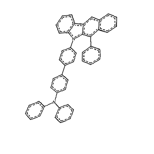 c1ccc(-c2c3ccccc3cc3c4ccccc4n(-c4ccc(-c5ccc(N(c6ccccc6)c6ccccc6)cc5)cc4)c23)cc1